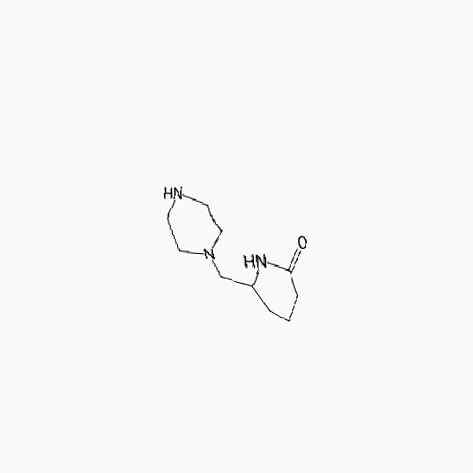 O=C1CCCC(CN2CCNCC2)N1